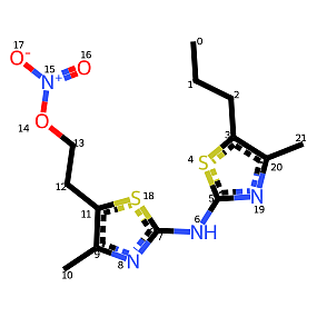 CCCc1sc(Nc2nc(C)c(CCO[N+](=O)[O-])s2)nc1C